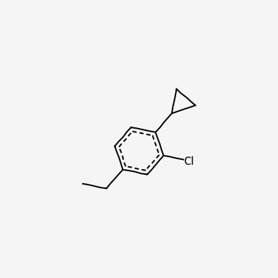 CCc1ccc(C2CC2)c(Cl)c1